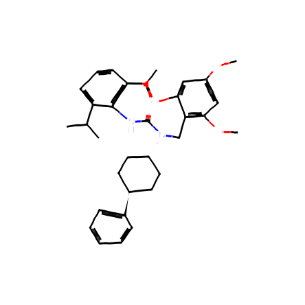 COc1cc(OC)c(CN(C(=O)Nc2c(C(C)C)cccc2C(C)C)[C@H]2CC[C@H](c3ccccc3)CC2)c(OC)c1